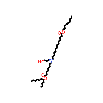 CCCCC#CCCCOC(=O)CCCCCCCCCCCCCN(CCCO)CCCCCCCC(=O)OC(CCCC)CCCCCC